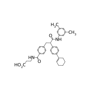 Cc1cc(C)cc(NC(=O)C(Cc2ccc(C(=O)NCCC(=O)O)cc2)c2ccc(C3=CCCCC3)cc2)c1